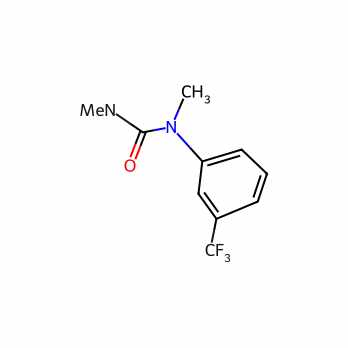 CNC(=O)N(C)c1cccc(C(F)(F)F)c1